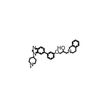 CN1CCC(n2cnc3ccc(-c4cccc(OCC(O)CN5CCc6ccccc6C5)c4)cc32)CC1